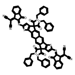 N#CC(C#N)=C1/C(=N/c2cc3c(s2)C2=CC4C=C5C(=CC4C=C2C3(C(=O)OCc2ccccc2)C(=O)OCc2ccccc2)c2sc(/N=C3\C(=O)c4ccccc4C3=C(C#N)C#N)cc2C5(C(=O)OCc2ccccc2)C(=O)OCc2ccccc2)C(=O)c2ccccc21